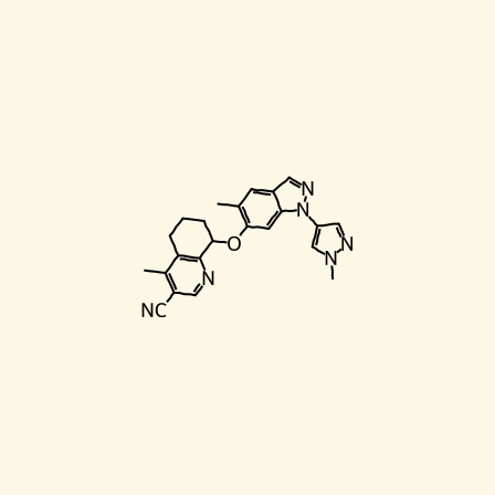 Cc1cc2cnn(-c3cnn(C)c3)c2cc1OC1CCCc2c1ncc(C#N)c2C